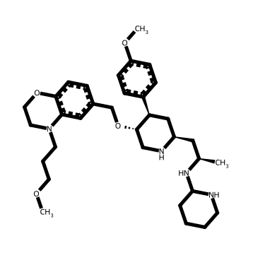 COCCCN1CCOc2ccc(CO[C@H]3CN[C@H](C[C@@H](C)NC4CCCCN4)C[C@@H]3c3ccc(OC)cc3)cc21